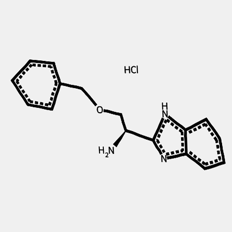 Cl.N[C@@H](COCc1ccccc1)c1nc2ccccc2[nH]1